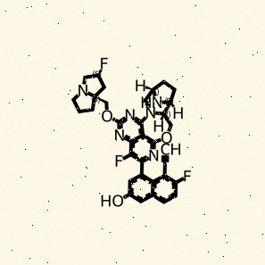 C#Cc1c(F)ccc2cc(O)cc(-c3nc4c5c(nc(OC[C@@]67CCCN6C[C@@H](F)C7)nc5c3F)N3C[C@@H]5CC[C@@H](N5)[C@@H]3CO4)c12